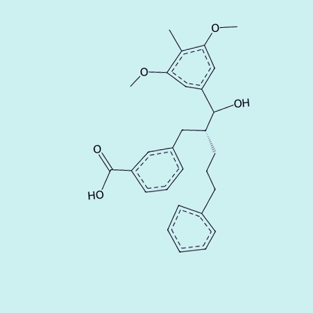 COc1cc(C(O)[C@H](CCCc2ccccc2)Cc2cccc(C(=O)O)c2)cc(OC)c1C